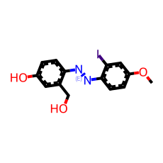 COc1ccc(/N=N/c2ccc(O)cc2CO)c(I)c1